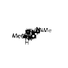 CNc1ccc(-c2nn(-c3ccccc3C)c3c2CCCc2nc(NC(=O)COC)sc2-3)cn1